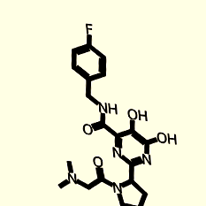 CN(C)CC(=O)N1CCCC1c1nc(O)c(O)c(C(=O)NCc2ccc(F)cc2)n1